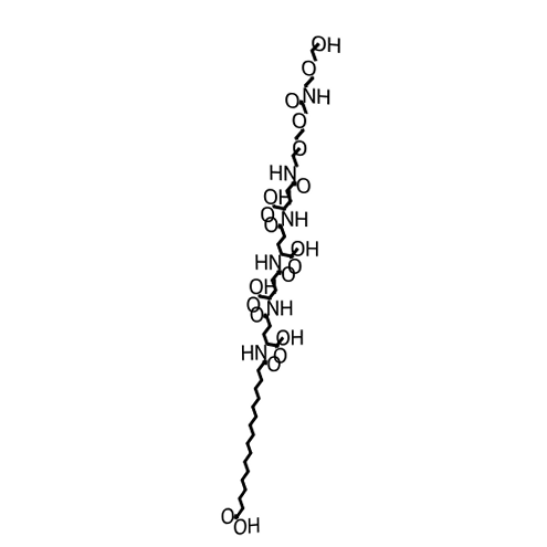 O=C(O)CCCCCCCCCCCCCCCCC(=O)NC(CCC(=O)NC(CCC(=O)NC(CCC(=O)NC(CCC(=O)NCCOCCOCC(=O)NCCOCCO)C(=O)O)C(=O)O)C(=O)O)C(=O)O